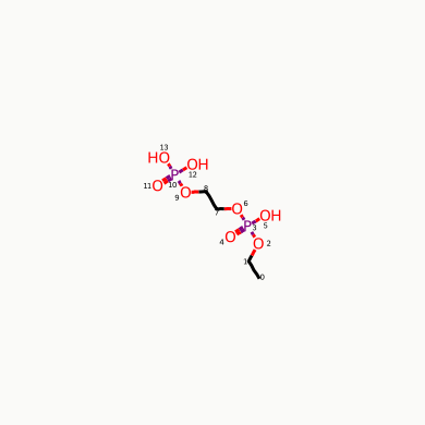 CCOP(=O)(O)OCCOP(=O)(O)O